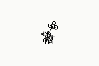 CC(=O)S[C@@](C(=O)O)(N(C)C(=O)[C@H](CC(C)C)NC(=O)CCCCN1C(=O)c2ccccc2C1=O)C(C)(C)S